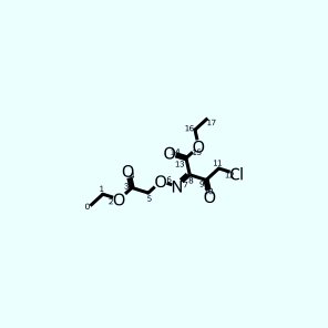 CCOC(=O)CON=C(C(=O)CCl)C(=O)OCC